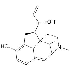 C=C[C@H](O)[C@@H]1CC2=C(O)C=CC3=CC4C(C)C1(CCN4C)C32